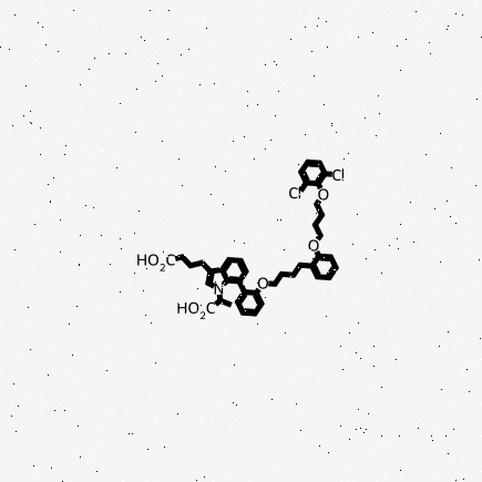 CC(C(=O)O)n1cc(CCCC(=O)O)c2cccc(-c3ccccc3OCCCCc3ccccc3OCCCCOc3c(Cl)cccc3Cl)c21